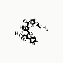 CCOC1CCN(C(=O)c2cc(C(=O)c3c(-c4ccccc4)noc3C)c[nH]2)C1